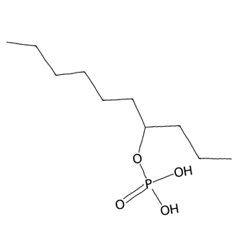 CCCCCCC(CCC)OP(=O)(O)O